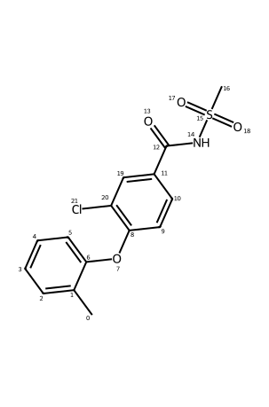 Cc1ccccc1Oc1ccc(C(=O)NS(C)(=O)=O)cc1Cl